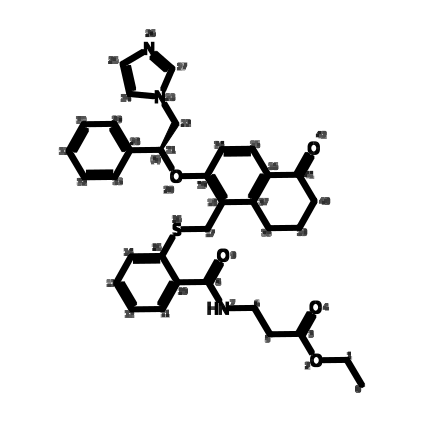 CCOC(=O)CCNC(=O)c1ccccc1SCc1c(O[C@H](Cn2ccnc2)c2ccccc2)ccc2c1CCCC2=O